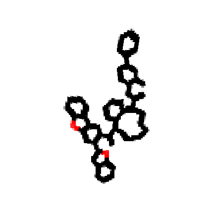 C=C(/C=c1/ccc(-c2ccccc2)cc1=C)C1=c2\cccc\c2=C(C(=C)c2cc3c(cc2-c2cc4ccccc4o2)oc2ccccc23)\C=C\CC\C=C\1